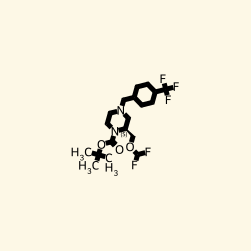 CC(C)(C)OC(=O)N1CCN(CC2CCC(C(F)(F)F)CC2)C[C@H]1COC(F)F